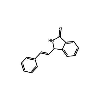 O=C1NC(C=Cc2ccccc2)c2ccccc21